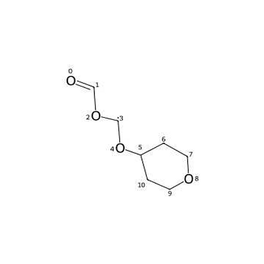 O=CO[CH]OC1CCOCC1